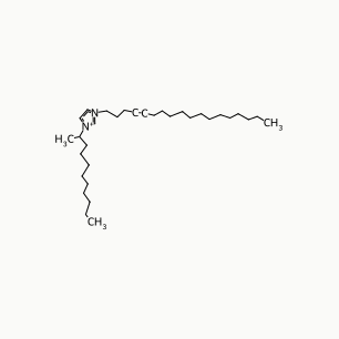 CCCCCCCCCCCCCCCCCCn1cc[n+](C(C)CCCCCCCCC)c1